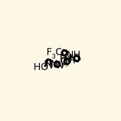 Oc1cccc(N2CCN(C[C@H]3CC[C@@H]4[C@H](O3)c3cc(C(F)(F)F)ccc3N[C@H]4C3C=CC=CC3)CC2)n1